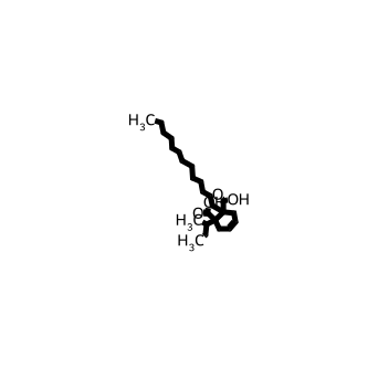 CCCCCCCCCCCCCC1(C(=O)O)CC=CCC1(C(=O)O)C(C)CC